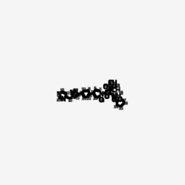 CC(CCn1ccc(-c2ccc(-c3cn(Cc4ccncn4)nn3)cc2)cc1=O)(C(=O)NOC1CCCCO1)S(C)(=O)=O